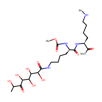 CCC(C)NCCCC[C@H](NC(=O)[C@@H](CCCCNC(=O)C(O)C(O)C(O)C(O)C(=O)C(C)O)NC(=O)OC(C)(C)C)C(=O)OC